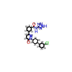 O=C(Nc1nn[nH]n1)c1cccc(-c2ccc(=O)n([C@H]3CC[C@H](c4cccc(Cl)c4)CC3)n2)c1